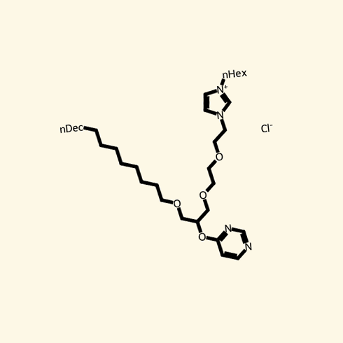 CCCCCCCCCCCCCCCCCCOCC(COCCOCCn1cc[n+](CCCCCC)c1)Oc1ccncn1.[Cl-]